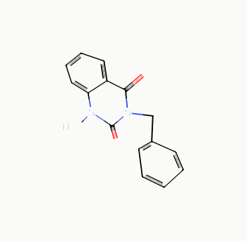 Cn1c(=O)n(Cc2ccccc2)c(=O)c2ccccc21